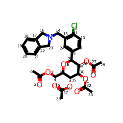 CC(=O)OCC1OC(c2ccc(Cl)c(CN3Cc4ccccc4C3)c2)[C@H](OC(C)=O)C(OC(C)=O)[C@@H]1OC(C)=O